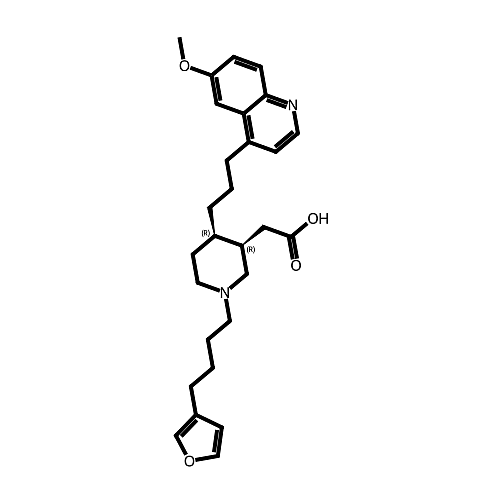 COc1ccc2nccc(CCC[C@@H]3CCN(CCCCc4ccoc4)C[C@@H]3CC(=O)O)c2c1